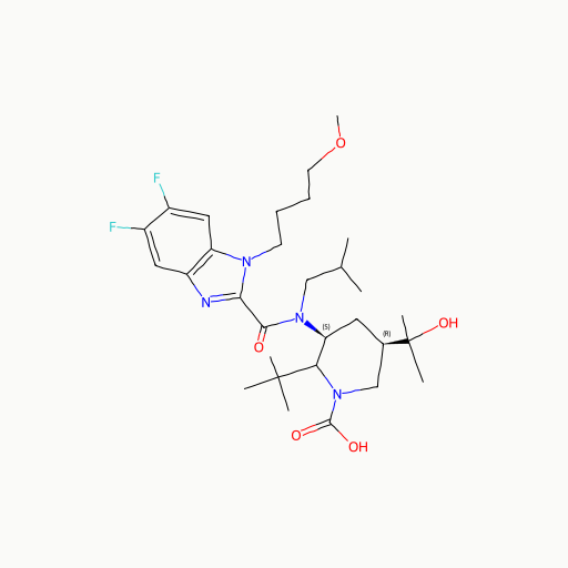 COCCCCn1c(C(=O)N(CC(C)C)[C@H]2C[C@@H](C(C)(C)O)CN(C(=O)O)C2C(C)(C)C)nc2cc(F)c(F)cc21